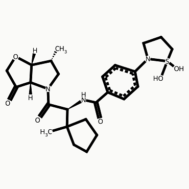 C[C@@H]1CN(C(=O)[C@@H](NC(=O)c2ccc(N3CCCS3(O)O)cc2)C2(C)CCCC2)[C@@H]2C(=O)CO[C@H]12